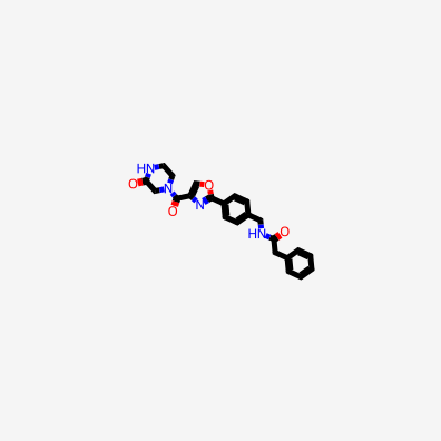 O=C(Cc1ccccc1)NCc1ccc(-c2nc(C(=O)N3CCNC(=O)C3)co2)cc1